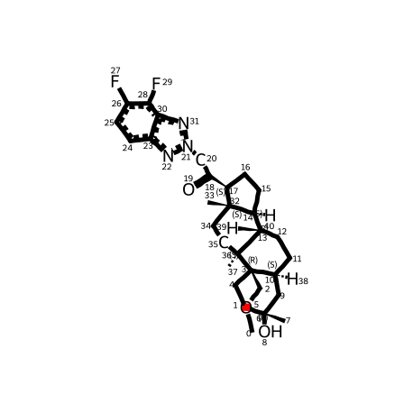 COC[C@]12CC[C@@](C)(O)C[C@@H]1CC[C@H]1[C@@H]3CC[C@H](C(=O)Cn4nc5ccc(F)c(F)c5n4)[C@@]3(C)CC[C@@]12C